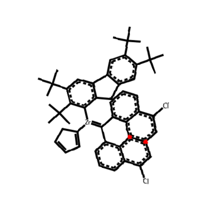 CC(C)(C)c1cc2c(cc1C(C)(C)C)-c1cc(C(C)(C)C)c(C(C)(C)C)[c]([Zr]([C]3=CC=CC3)=[C](c3cccc4c(Cl)cccc34)c3cccc4c(Cl)cccc34)c1C2